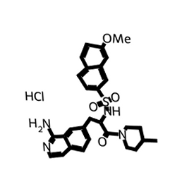 COc1ccc2ccc(S(=O)(=O)NC(Cc3ccc4ccnc(N)c4c3)C(=O)N3CCC(C)CC3)cc2c1.Cl